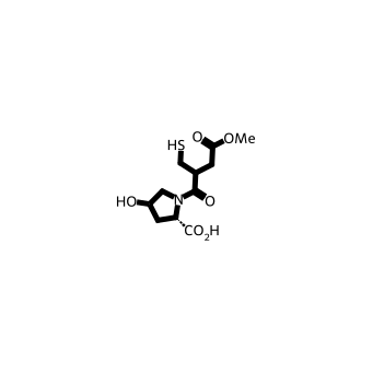 COC(=O)CC(CS)C(=O)N1CC(O)C[C@H]1C(=O)O